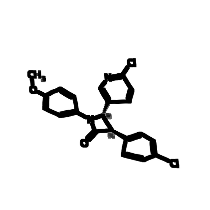 COc1ccc(N2C(=O)[C@H](c3ccc(Cl)cc3)[C@H]2c2ccc(Cl)nc2)cc1